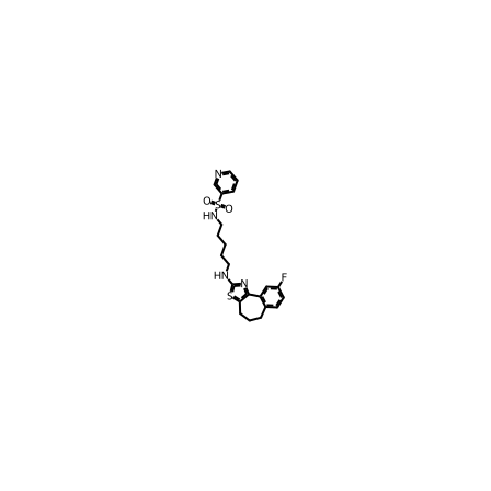 O=S(=O)(NCCCCCNc1nc2c(s1)CCCc1ccc(F)cc1-2)c1cccnc1